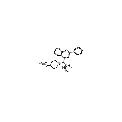 CC(c1cc(-c2ccccc2)nc2ccccc12)N1CCC(NC(C)(C)C)CC1.Cl.Cl